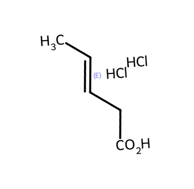 C/C=C/CC(=O)O.Cl.Cl